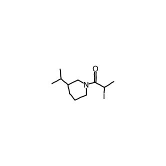 CC(I)C(=O)N1CCCC(C(C)C)C1